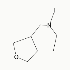 IN1CCC2COCC2C1